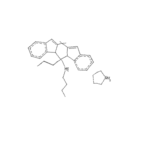 C1CC[SiH2]C1.CCC[CH2][Hf][C](CCC)(C1C(C)=Cc2ccccc21)C1C(C)=Cc2ccccc21